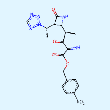 C[C@H]([C@H]1C(=O)N[C@@H]1[C@@H](C)C(=O)C(=N)C(=O)OCc1ccc([N+](=O)[O-])cc1)n1ncnn1